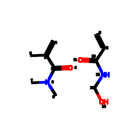 C=C(C)C(=O)N(C)C.C=CC(=O)NCO